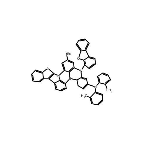 Cc1ccccc1N(C1=CCC2B3c4c(cc(C(C)(C)C)cc4-n4c5sc6ccccc6c5c5cccc3c54)N(c3cccc4c3oc3ccccc34)C2=C1)c1ccccc1C